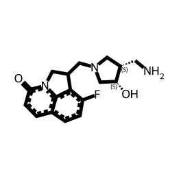 NC[C@H]1CN(CC2Cn3c(=O)ccc4ccc(F)c2c43)C[C@H]1O